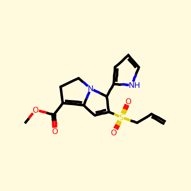 C=CCS(=O)(=O)C1=CC2=C(C(=O)OC)CCN2C1c1ccc[nH]1